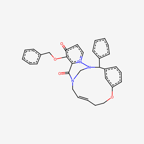 O=C1c2c(OCc3ccccc3)c(=O)ccn2N2CN1C/C=C/CCOc1cccc(c1)C2c1ccccc1